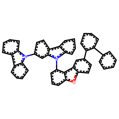 c1ccc(-c2ccccc2-c2ccc3oc4cccc(-n5c6ccccc6c6ccc(-n7c8ccccc8c8ccccc87)cc65)c4c3c2)cc1